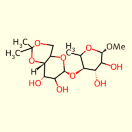 CO[C@@H]1OC(C)[C@H](O[C@@H]2OC3COC(C)(C)O[C@H]3[C@@H](O)C2O)[C@@H](O)C1O